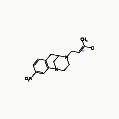 C/C(Cl)=C\CN1CCN2CC1Cc1ccc([N+](=O)[O-])cc12